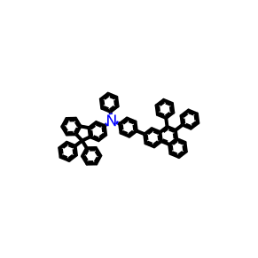 c1ccc(-c2c(-c3ccccc3)c3cc(-c4ccc(N(c5ccccc5)c5ccc6c(c5)-c5ccccc5C6(c5ccccc5)c5ccccc5)cc4)ccc3c3ccccc23)cc1